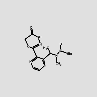 CC(c1nccnc1C1=NNC(=O)CO1)N(C)[S+]([O-])C(C)(C)C